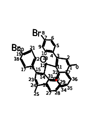 Cc1cc(-c2ccc(Br)cc2)c(C(=O)c2c(-c3ccc(Br)cc3)cc(C)c3ccccc23)c2ccccc12